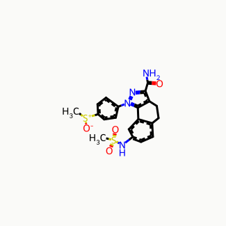 C[S+]([O-])c1ccc(-n2nc(C(N)=O)c3c2-c2cc(NS(C)(=O)=O)ccc2CC3)cc1